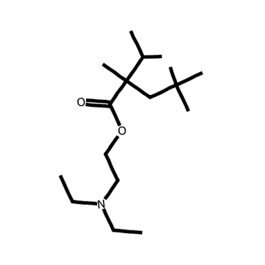 CCN(CC)CCOC(=O)C(C)(CC(C)(C)C)C(C)C